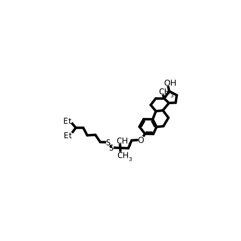 CCC(CC)CCCCSSC(C)(C)CCOc1ccc2c(c1)CCC1C2CCC2(C)C(O)CCC12